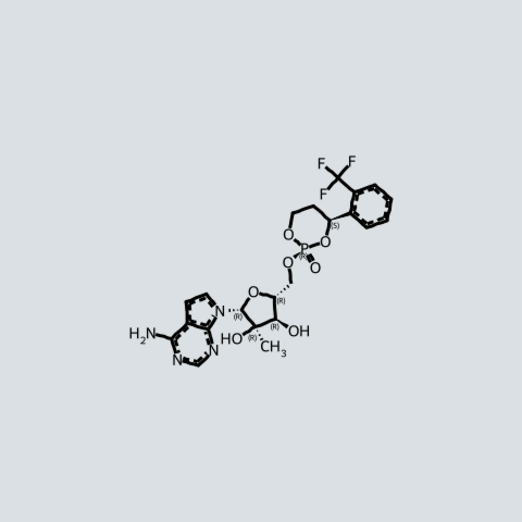 C[C@@]1(O)[C@H](O)[C@@H](CO[P@@]2(=O)OCC[C@@H](c3ccccc3C(F)(F)F)O2)O[C@H]1n1ccc2c(N)ncnc21